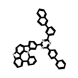 c1ccc(-c2ccc(-c3nc(-c4cccc(-c5ccc6ccccc6c5)c4)nc(-c4ccc5c6ccc7sc8cccc9c%10ccccc%10n(c5c4)c6c7c89)n3)cc2)cc1